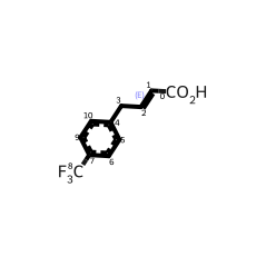 O=C(O)/C=C/Cc1ccc(C(F)(F)F)cc1